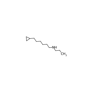 CCCNCCCCCCC1CC1